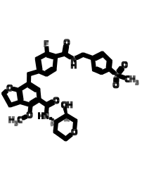 COc1c(C(=O)N[C@H]2CCOC[C@@H]2O)cc(Cc2ccc(C(=O)NCc3ccc(S(C)(=O)=O)cc3)c(F)c2)c2c1CCO2